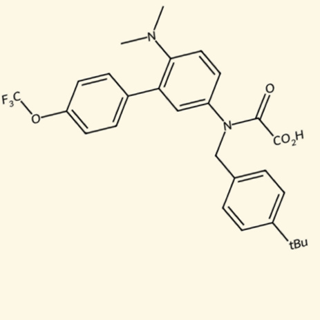 CN(C)c1ccc(N(Cc2ccc(C(C)(C)C)cc2)C(=O)C(=O)O)cc1-c1ccc(OC(F)(F)F)cc1